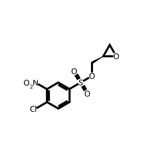 O=[N+]([O-])c1cc(S(=O)(=O)OC[C@H]2CO2)ccc1Cl